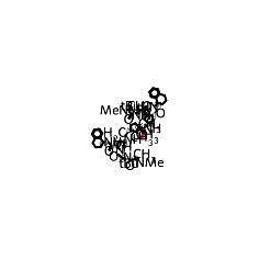 C=C(N[C@H]1C[C@@H](C(=O)N[C@@H]2CCCc3ccccc32)N(C(=O)[C@@H](NC(=O)[C@H](C)NC)C(C)(C)C)C1)[C@H]1CC[C@@](C)(C(=O)N[C@H]2C[C@@H](C(=O)N[C@@H]3CCCc4ccccc43)N(C(=O)[C@@H](NC(=O)[C@H](C)NC)C(C)(C)C)C2)C1(C)C